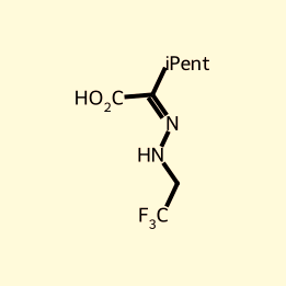 CCCC(C)C(=NNCC(F)(F)F)C(=O)O